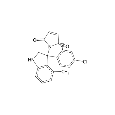 Cc1cccc2c1C(c1ccc(Cl)cc1Cl)(N1C(=O)C=CC1=O)CN2